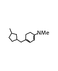 CNC1=CC=C(CC2CCC(C)C2)CC1